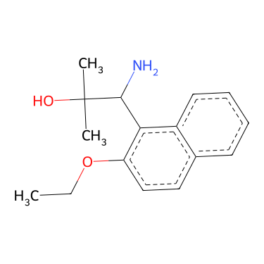 CCOc1ccc2ccccc2c1C(N)C(C)(C)O